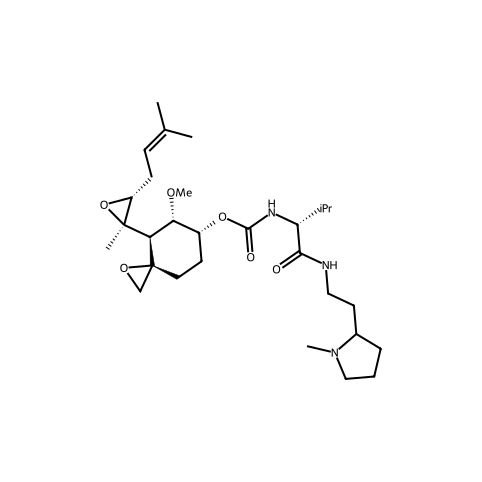 CO[C@@H]1[C@H](OC(=O)N[C@@H](C(=O)NCCC2CCCN2C)C(C)C)CC[C@]2(CO2)[C@H]1[C@@]1(C)O[C@@H]1CC=C(C)C